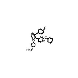 OC[C@H]1CC[C@H](n2cnc(-c3ccc(F)cc3)c2-c2ccnc(Oc3ccccc3)n2)CC1